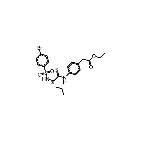 CCC[C@H](NS(=O)(=O)c1ccc(Br)cc1)C(=S)Nc1ccc(CC(=O)OCC)cc1